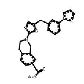 COC(=O)c1ccc2c(c1)CN(c1ncc(Cc3cccc(-n4cccn4)c3)s1)CC2